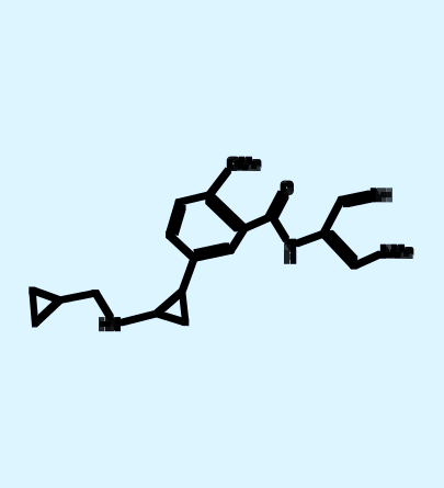 CN/C=C(\C=N)NC(=O)c1cc(C2CC2NCC2CC2)ccc1OC